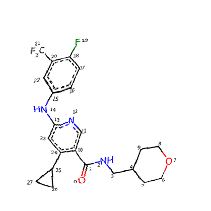 O=C(NCC1CCOCC1)c1cnc(Nc2ccc(F)c(C(F)(F)F)c2)cc1C1CC1